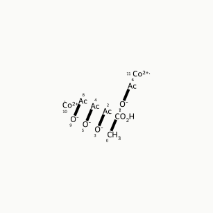 CC(=O)O.CC(=O)[O-].CC(=O)[O-].CC(=O)[O-].CC(=O)[O-].[Co+2].[Co+2]